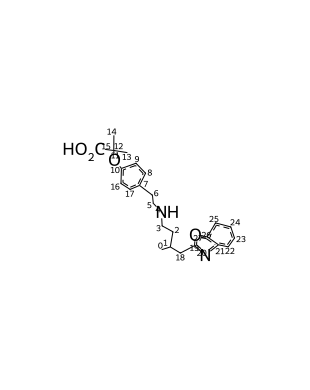 CC(CCNCCc1ccc(OC(C)(C)C(=O)O)cc1)Cc1nc2ccccc2o1